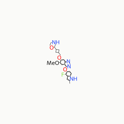 COc1cc2c(Oc3ccc4[nH]c(C)cc4c3F)ncnc2cc1OCC1CC(C2CNCCO2)C1